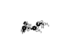 CNC(=O)c1cc(Oc2ccc(CNC(=O)Nc3cc(C(F)(F)F)ccc3-n3ccnc3)cc2C)ccn1